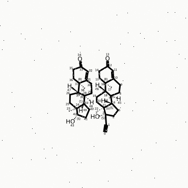 C#C[C@]1(O)CC[C@H]2[C@@H]3CCC4=CC(=O)CC[C@]4(C)[C@H]3CC[C@@]21C.C[C@]12CC[C@H]3[C@@H](CCC4=CC(=O)CC[C@@]43C)[C@@H]1CC[C@@H]2O